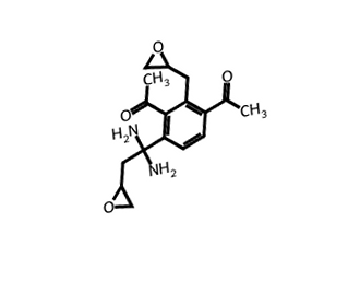 CC(=O)c1ccc(C(N)(N)CC2CO2)c(C(C)=O)c1CC1CO1